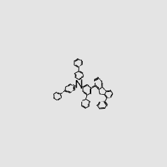 C1=CCC(c2cc(-c3cccc4c3Cc3c(-c5ccccc5)cccc3-4)cc(N(c3ccc(-c4ccccc4)cc3)c3ccc(-c4ccccc4)cc3)c2)C=C1